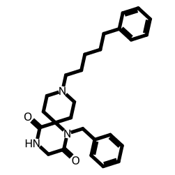 O=C1CNC(=O)C2(CCN(CCCCCc3ccccc3)CC2)N1Cc1ccccc1